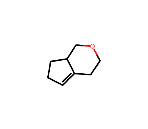 C1=C2CCOCC2CC1